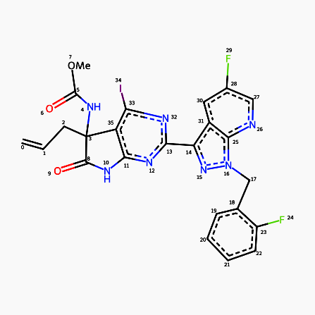 C=CCC1(NC(=O)OC)C(=O)Nc2nc(-c3nn(Cc4ccccc4F)c4ncc(F)cc34)nc(I)c21